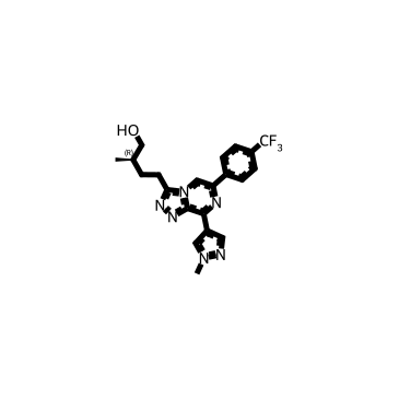 C[C@@H](CO)CCc1nnc2c(-c3cnn(C)c3)nc(-c3ccc(C(F)(F)F)cc3)cn12